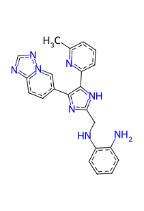 Cc1cccc(-c2[nH]c(CNc3ccccc3N)nc2-c2ccc3ncnn3c2)n1